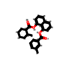 Cc1cccc(C(=O)Oc2cccc3cccc(OC(=O)C4CCCCC4C)c23)c1